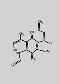 C=C/C=C(/CCC)c1c(NC)c(=C)c(NC=C)c(/C(C)=C\CCCC)c1=C